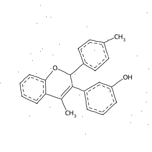 CC1=C(c2cccc(O)c2)C(c2ccc(C)cc2)Oc2ccccc21